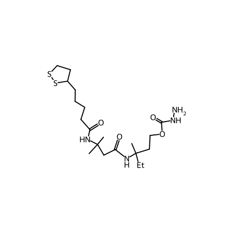 CCC(C)(CCOC(=O)NN)NC(=O)CC(C)(C)NC(=O)CCCCC1CCSS1